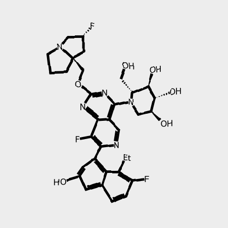 CCc1c(F)ccc2cc(O)cc(-c3ncc4c(N5C[C@H](O)[C@@H](O)[C@H](O)[C@H]5CO)nc(OC[C@@]56CCCN5C[C@H](F)C6)nc4c3F)c12